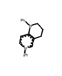 CC(C)N1CCCc2c[n+](C(C)C)ccc21